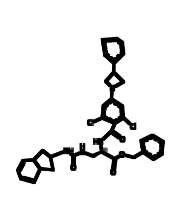 O=C(NC[C@@H](NC(=O)c1c(Cl)cc(N2CC(c3ccccc3)C2)cc1Cl)C(=O)OCc1ccccc1)NC1CC2C=CC=CC2C1